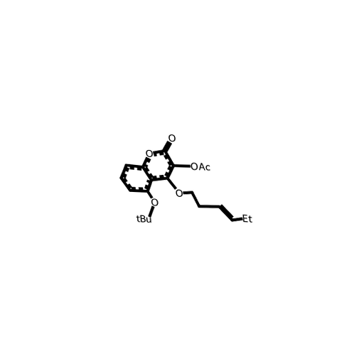 CCC=CCCOc1c(OC(C)=O)c(=O)oc2cccc(OC(C)(C)C)c12